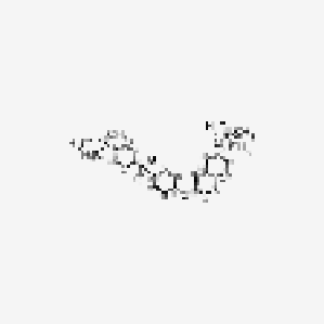 CCC(C)(C)c1ccc(S(=O)(=O)c2ccc(Oc3ccc4ccc(OC(C)(C)C)cc4c3)cc2)cc1